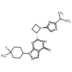 CN(C)c1nc([C@@H]2CC[C@H]2c2nc3c(cnn3C3CCC(C)(F)CC3)c(=O)[nH]2)cs1